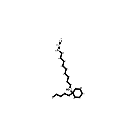 CCCCCC1(NCCCCCCCCCN=C=O)CCCCC1